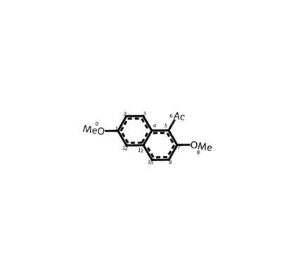 COc1ccc2c(C(C)=O)c(OC)ccc2c1